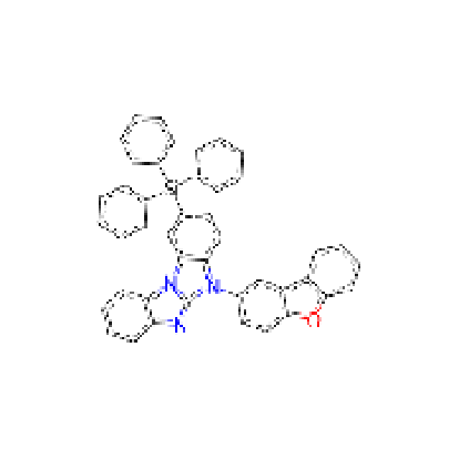 c1ccc([Si](c2ccccc2)(c2ccccc2)c2ccc3c(c2)n2c4ccccc4nc2n3-c2ccc3oc4ccccc4c3c2)cc1